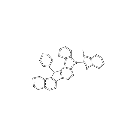 Cn1c(-n2c3ccccc3c3c4c(ccc32)-c2ccc3ccccc3c2C4c2ccccc2)nc2ccccc21